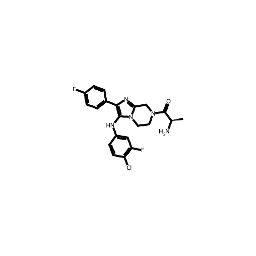 C[C@@H](N)C(=O)N1CCn2c(nc(-c3ccc(F)cc3)c2Nc2ccc(Cl)c(F)c2)C1